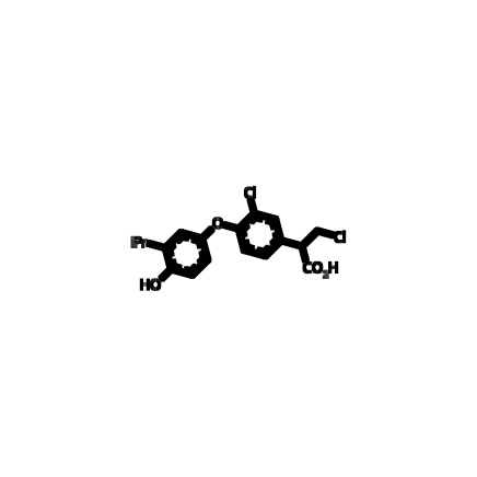 CC(C)c1cc(Oc2ccc(C(CCl)C(=O)O)cc2Cl)ccc1O